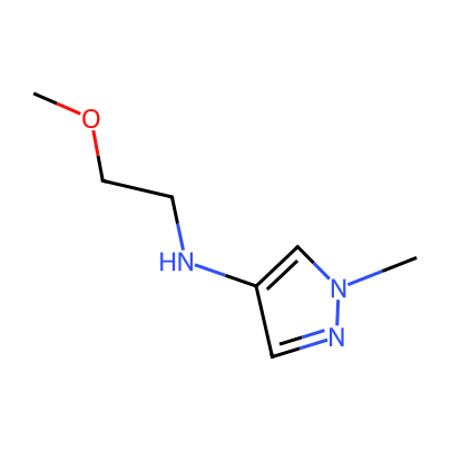 COCCNc1cnn(C)c1